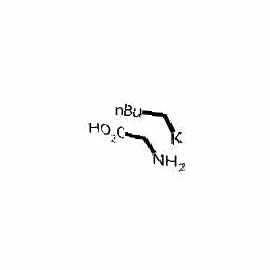 CCCC[CH2][K].NCC(=O)O